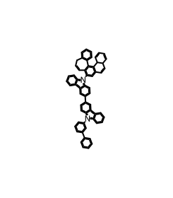 C1=CC2C=Cc3cc(-n4c5ccccc5c5cc(-c6ccc7c(c6)c6ccccc6n7-c6cccc(-c7ccccc7)c6)ccc54)c4c(c3C2C=C1)-c1ccccc1CC=C4